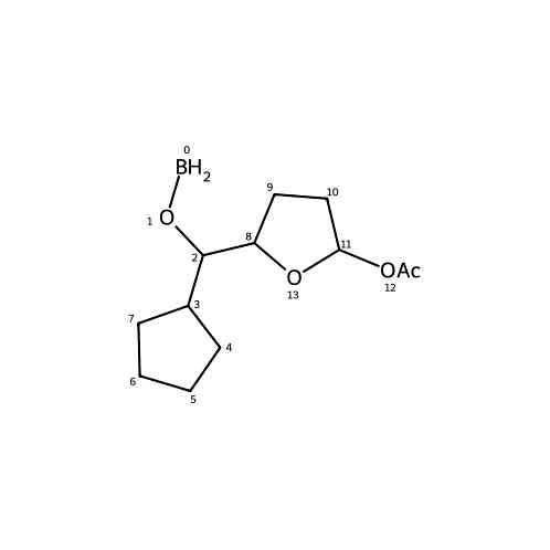 BOC(C1CCCC1)C1CCC(OC(C)=O)O1